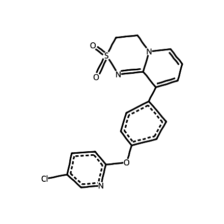 O=S1(=O)CCN2C=CC=C(c3ccc(Oc4ccc(Cl)cn4)cc3)C2=N1